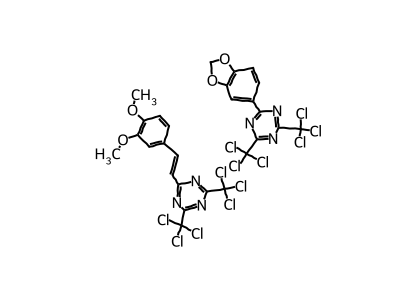 COc1ccc(C=Cc2nc(C(Cl)(Cl)Cl)nc(C(Cl)(Cl)Cl)n2)cc1OC.ClC(Cl)(Cl)c1nc(-c2ccc3c(c2)OCO3)nc(C(Cl)(Cl)Cl)n1